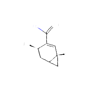 C=C(N)C1=C[C@@H]2CC2C[C@H]1C